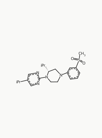 CC(C)c1cnc(N2CCN(c3cccc(S(C)(=O)=O)c3)C[C@H]2C(C)C)nc1